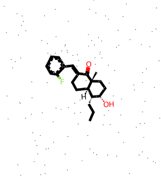 CCC[C@@H]1[C@H]2CC/C(=C\c3ccccc3F)C(=O)[C@]2(C)CC[C@@H]1O